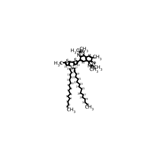 CCCCCCCCCCCCCCCC[Si]1(CCCCCCCCCCCCCCCC)c2cc(C)sc2-c2sc(-c3cc4c5c(c(C)cc4c4c3=NC(C)(C)N=4)=NC(C)(C)N=5)cc21